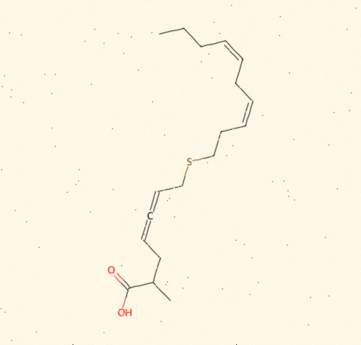 CCC/C=C\C/C=C\CCSCC=C=CCC(C)C(=O)O